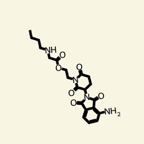 CCCCNCC(=O)OCCN1C(=O)CCC(N2C(=O)c3cccc(N)c3C2=O)C1=O